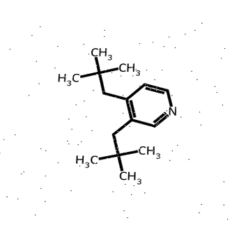 CC(C)(C)Cc1ccncc1CC(C)(C)C